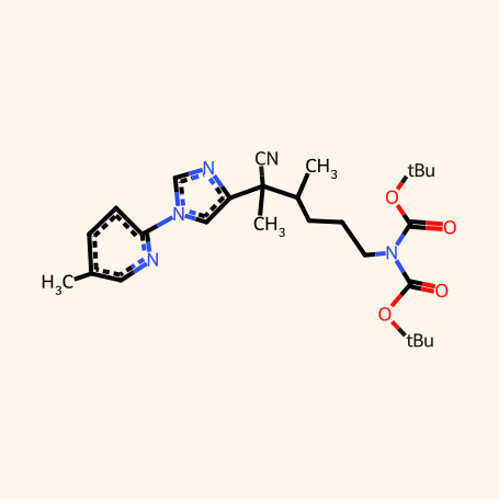 Cc1ccc(-n2cnc(C(C)(C#N)C(C)CCCN(C(=O)OC(C)(C)C)C(=O)OC(C)(C)C)c2)nc1